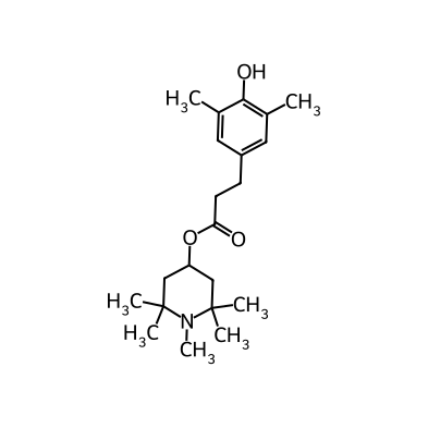 Cc1cc(CCC(=O)OC2CC(C)(C)N(C)C(C)(C)C2)cc(C)c1O